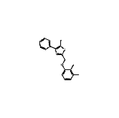 Cc1cccc(OCc2nc(-c3ccccc3)c(C)o2)c1C